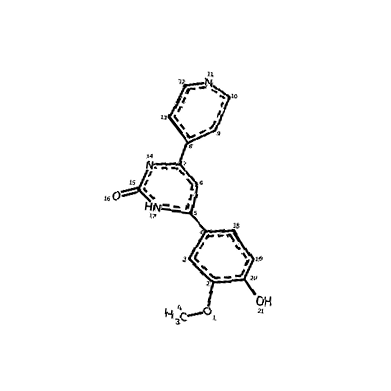 COc1cc(-c2cc(-c3ccncc3)nc(=O)[nH]2)ccc1O